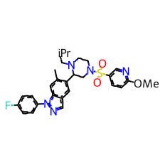 COc1ccc(S(=O)(=O)N2CCN(CC(C)C)C(c3cc4cnn(-c5ccc(F)cc5)c4cc3C)C2)cn1